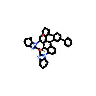 Cc1nc2ccccc2n1-c1cccc2c(-c3cc(-c4ccccc4)ccc3-c3ccccc3)c3cccc(-n4c(C)nc5ccccc54)c3cc12